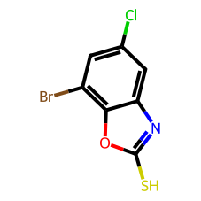 Sc1nc2cc(Cl)cc(Br)c2o1